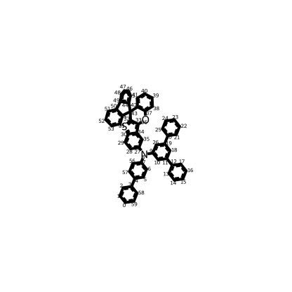 c1ccc(-c2ccc(N(c3cc(-c4ccccc4)cc(-c4ccccc4)c3)c3ccc4sc5c(c4c3)Oc3ccccc3C53c4ccccc4-c4ccccc43)cc2)cc1